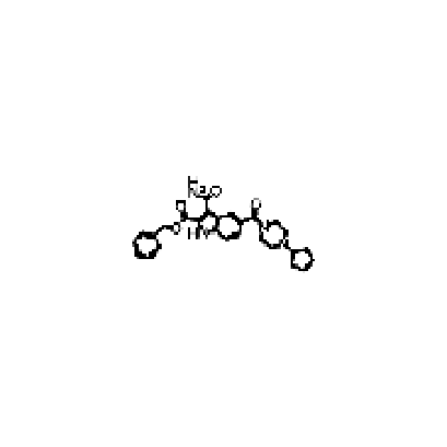 NC(=O)c1c(C(=O)OCc2ccccc2)[nH]c2ccc(C(=O)N3CCN(C4CCCC4)CC3)cc12